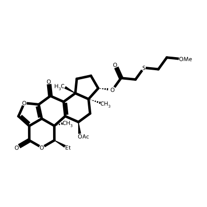 CC[C@H]1OC(=O)c2coc3c2[C@@]1(C)C1=C(C3=O)[C@]2(C)CC[C@H](OC(=O)CSCCOC)[C@@]2(C)C[C@H]1OC(C)=O